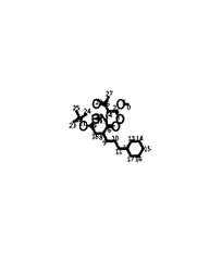 COC(=O)C(NC(=O)C(CCCC1CCCCC1)CC(=O)OC(C)(C)C)C(C)=O